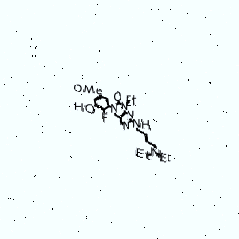 CCN(CC)CCCCNc1ncc2c(n1)N(CC)C(=O)N(c1cc(OC)cc(O)c1F)C2